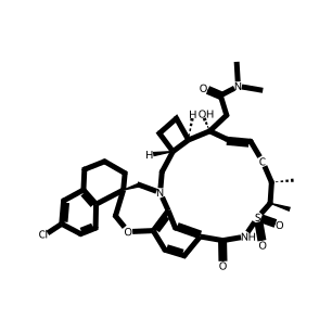 C[C@@H]1[C@@H](C)C/C=C/[C@](O)(CC(=O)N(C)C)[C@@H]2CC[C@H]2CN2C[C@@]3(CCCc4cc(Cl)ccc43)COc3ccc(cc32)C(=O)NS1(=O)=O